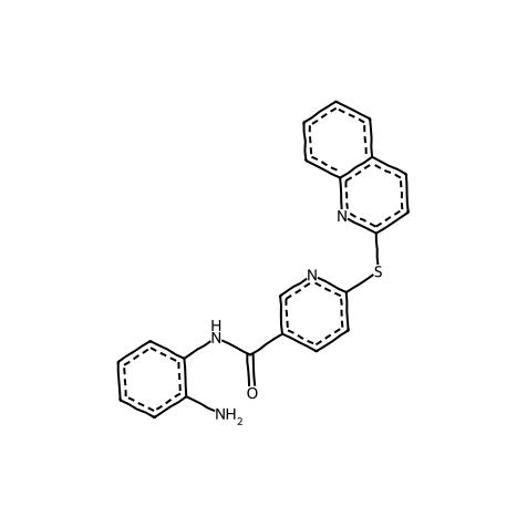 Nc1ccccc1NC(=O)c1ccc(Sc2ccc3ccccc3n2)nc1